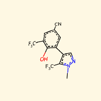 Cn1ncc(-c2cc(C#N)cc(C(F)(F)F)c2O)c1C(F)(F)F